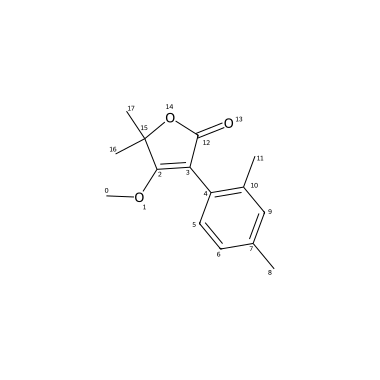 COC1=C(c2ccc(C)cc2C)C(=O)OC1(C)C